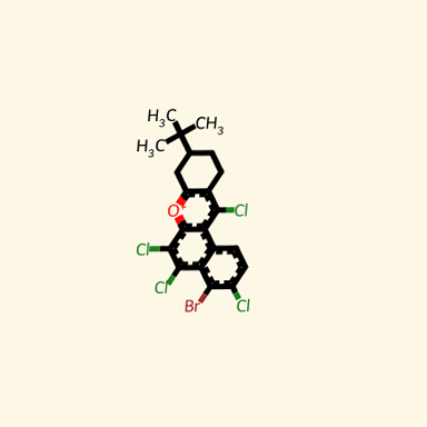 CC(C)(C)C1CCc2c([o+]c3c(Cl)c(Cl)c4c(Br)c(Cl)ccc4c3c2Cl)C1